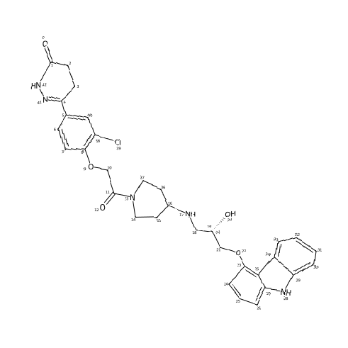 O=C1CCC(c2ccc(OCC(=O)N3CCC(NC[C@H](O)COc4cccc5[nH]c6ccccc6c45)CC3)c(Cl)c2)=NN1